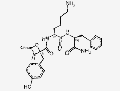 NCCCC[C@H](NC(=O)[C@]1(Cc2ccc(O)cc2)NC(=O)O1)C(=O)N[C@@H](Cc1ccccc1)C(N)=O